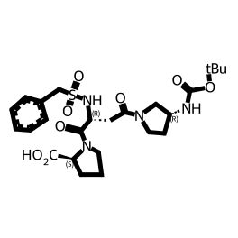 CC(C)(C)OC(=O)N[C@@H]1CCN(C(=O)C[C@@H](NS(=O)(=O)Cc2ccccc2)C(=O)N2CCC[C@H]2C(=O)O)C1